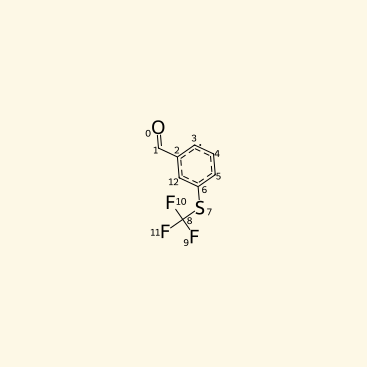 O=Cc1[c]ccc(SC(F)(F)F)c1